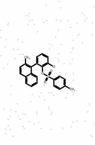 Cc1ccc(S(=O)(=O)Oc2c(Cl)cccc2-c2c(C)ccc3ccccc23)cc1